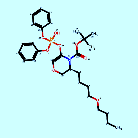 CCCCOCCCC[C@H]1COC=C(O[PH](O)(Oc2ccccc2)Oc2ccccc2)N1C(=O)OC(C)(C)C